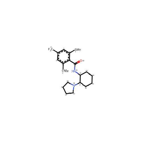 COc1cc(C(F)(F)F)cc(SC)c1C(=O)NC1CCCCC1N1CCCC1